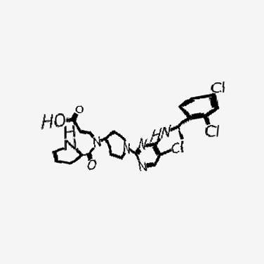 C[C@@H](Nc1nc(N2CCC(N(CCC(=O)O)C(=O)[C@H]3CCCN3)CC2)ncc1Cl)c1ccc(Cl)cc1Cl